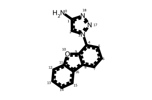 Nc1cn(-c2cccc3c2oc2ccccc23)nn1